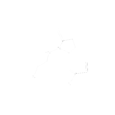 C=CC(N)=O.NCCNN1CCCC1=O